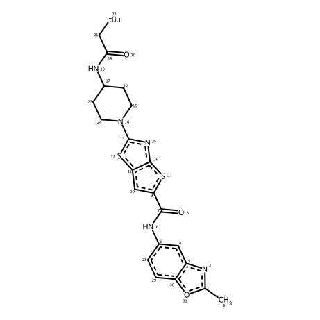 Cc1nc2cc(NC(=O)c3cc4sc(N5CCC(NC(=O)CC(C)(C)C)CC5)nc4s3)ccc2o1